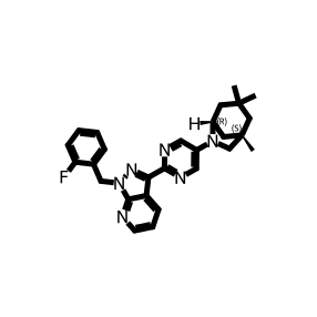 CC1(C)C[C@@H]2C[C@@](C)(CN2c2cnc(-c3nn(Cc4ccccc4F)c4ncccc34)nc2)C1